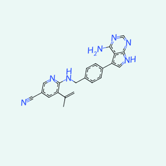 C=C(C)c1cc(C#N)cnc1NCc1ccc(-c2c[nH]c3ncnc(N)c23)cc1